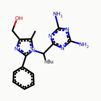 CCCCC(c1nc(N)nc(N)n1)n1c(-c2ccccc2)nc(CO)c1C